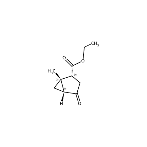 CCOC(=O)[C@@H]1CC(=O)[C@@H]2C[C@@]21C